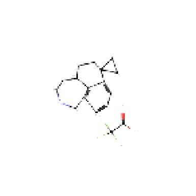 O=C(O)C(F)(F)F.c1cc2c3c(c1)C1(CCC3CCNC2)CC1